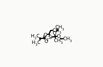 C=C(C)C(=O)OC(CC)[SiH2]C(C)(OCC)OCC